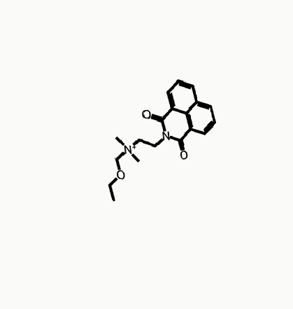 CCOC[N+](C)(C)CCN1C(=O)c2cccc3cccc(c23)C1=O